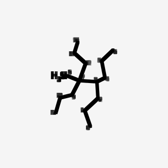 CCCC(CCC)C([SiH3])(CCC)CCC